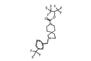 O=C(OC(C(F)(F)F)C(F)(F)F)N1CCC2(CCN(Cc3cccc(C(F)(F)F)c3)C2)CC1